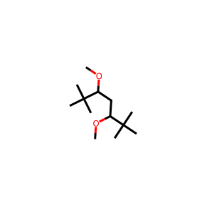 COC(CC(OC)C(C)(C)C)C(C)(C)C